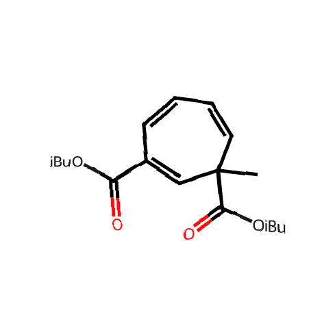 CC(C)COC(=O)C1=CC(C)(C(=O)OCC(C)C)C=CC=C1